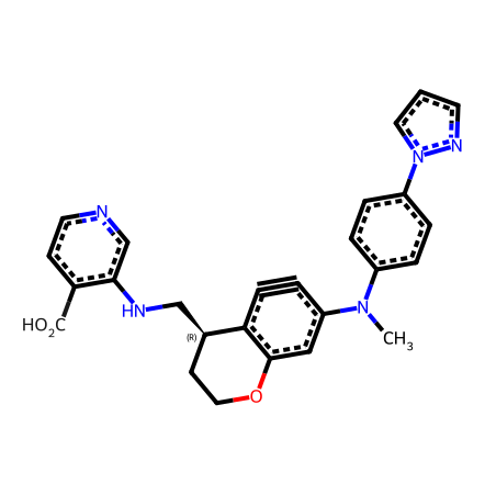 CN(c1c#cc2c(c1)OCC[C@H]2CNc1cnccc1C(=O)O)c1ccc(-n2cccn2)cc1